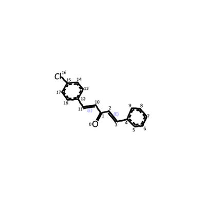 O=C(/C=C/c1ccccc1)/C=C/c1ccc(Cl)cc1